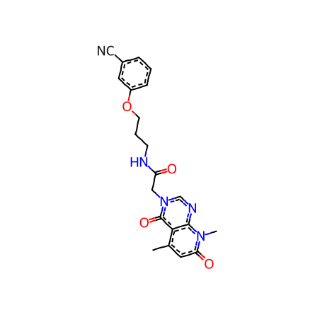 Cc1cc(=O)n(C)c2ncn(CC(=O)NCCCOc3cccc(C#N)c3)c(=O)c12